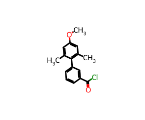 COc1cc(C)c(-c2cccc(C(=O)Cl)c2)c(C)c1